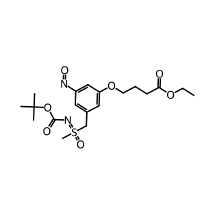 CCOC(=O)CCCOc1cc(CS(C)(=O)=NC(=O)OC(C)(C)C)cc(N=O)c1